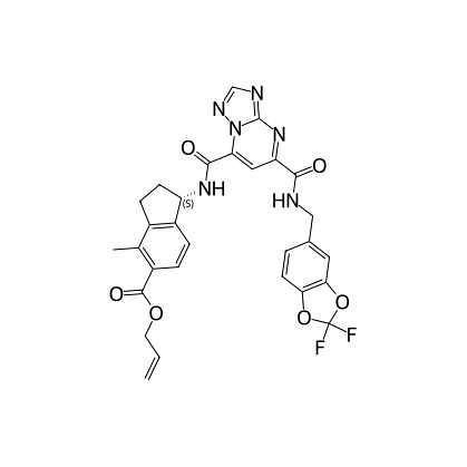 C=CCOC(=O)c1ccc2c(c1C)CC[C@@H]2NC(=O)c1cc(C(=O)NCc2ccc3c(c2)OC(F)(F)O3)nc2ncnn12